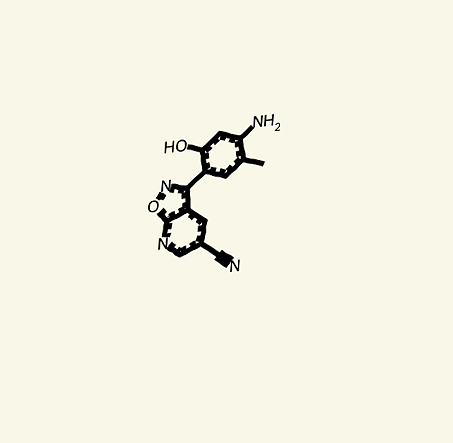 Cc1cc(-c2noc3ncc(C#N)cc23)c(O)cc1N